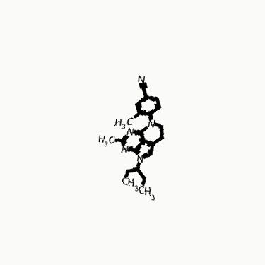 CCC(CC)n1cc2c3c(nc(C)nc31)N(c1ccc(C#N)cc1C)CC2